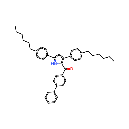 CCCCCCc1ccc(-c2cc(-c3ccc(CCCCCC)cc3)c(C(=O)c3ccc(-c4ccccc4)cc3)[nH]2)cc1